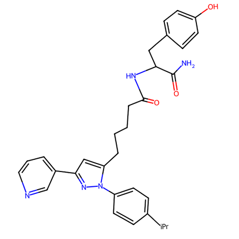 CC(C)c1ccc(-n2nc(-c3cccnc3)cc2CCCCC(=O)NC(Cc2ccc(O)cc2)C(N)=O)cc1